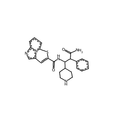 NC(=O)C(c1ccccc1)C(NC(=O)C1=Cc2cnc3cccc(n23)S1)C1CCNCC1